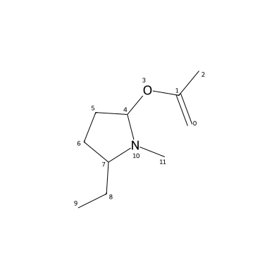 C=C(C)OC1CCC(CC)N1C